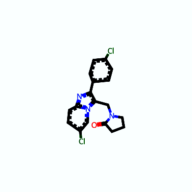 O=C1CCCN1Cc1c(-c2ccc(Cl)cc2)nc2ccc(Cl)cn12